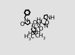 CC1(C)[C@@H]2[C@@H](C(=O)N[C@H](C#N)C[C@@H]3CCNC3=O)N(C(=O)[C@@H]3CC(=O)N(Cc4ccccc4)C3)C[C@@H]21